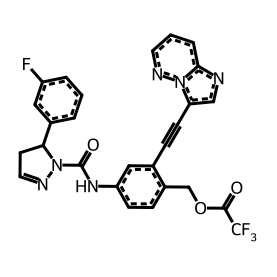 O=C(Nc1ccc(COC(=O)C(F)(F)F)c(C#Cc2cnc3cccnn23)c1)N1N=CCC1c1cccc(F)c1